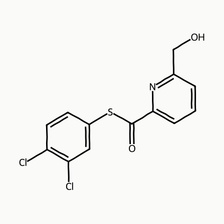 O=C(Sc1ccc(Cl)c(Cl)c1)c1cccc(CO)n1